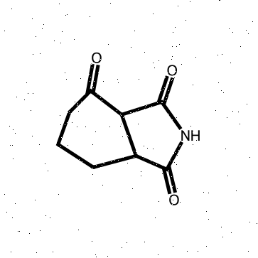 O=C1NC(=O)C2C(=O)CCCC12